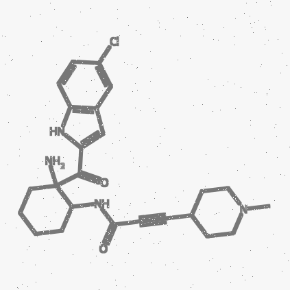 CN1CCC(C#CC(=O)NC2CCCCC2(N)C(=O)c2cc3cc(Cl)ccc3[nH]2)CC1